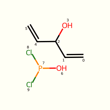 C=CC(O)C=C.OP(Cl)Cl